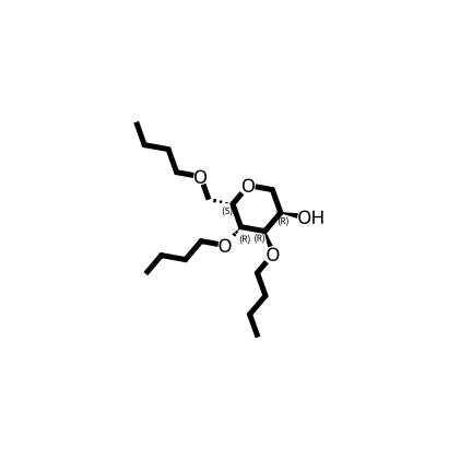 CCCCOC[C@@H]1OC[C@@H](O)[C@@H](OCCCC)[C@@H]1OCCCC